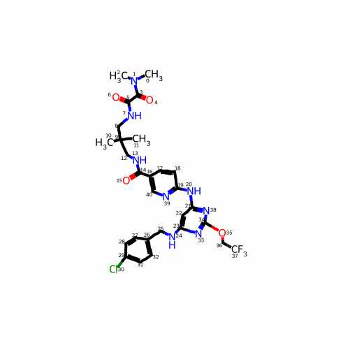 CN(C)C(=O)C(=O)NCC(C)(C)CNC(=O)c1ccc(Nc2cc(NCc3ccc(Cl)cc3)nc(OCC(F)(F)F)n2)nc1